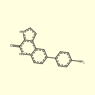 Nc1ccc(-c2ccc3[nH]c(=O)c4[nH]ccc4c3c2)cc1